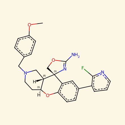 COc1ccc(CN2CC[C@@H]3Oc4ccc(-c5cccnc5F)cc4[C@]4(COC(N)=N4)[C@H]3C2)cc1